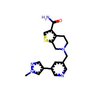 Cn1cc(-c2cncc(CN3CCc4c(C(N)=O)csc4C3)c2)cn1